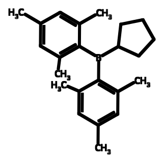 Cc1cc(C)c(B(c2c(C)cc(C)cc2C)C2CCCC2)c(C)c1